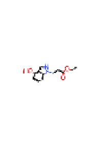 CCOC(=O)CCn1ncc2c(O)cccc21